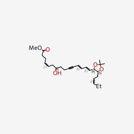 CC/C=C\C[C@@H]1OC(C)(C)O[C@@H]1/C=C/C=C/C#CCC[C@@H](O)C/C=C\CCC(=O)OC